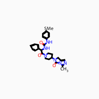 CSc1ccc(NC(=O)NC(C(=O)N2CCC(N3Cc4cnc(C)n4C3=O)CC2)c2ccccc2)cc1